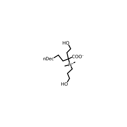 CCCCCCCCCCCCC(CCO)(C(=O)[O-])[N+](C)(C)CCCO